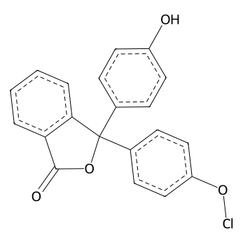 O=C1OC(c2ccc(O)cc2)(c2ccc(OCl)cc2)c2ccccc21